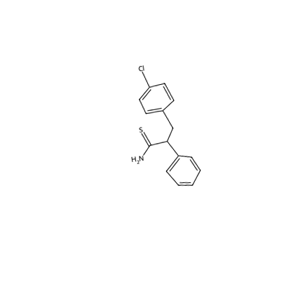 NC(=S)C(Cc1ccc(Cl)cc1)c1ccccc1